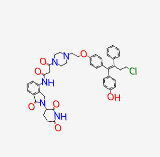 O=C1CCC(N2Cc3c(NC(=O)CC(=O)N4CCN(CCOc5ccc(C(=C(CCCl)c6ccccc6)c6ccc(O)cc6)cc5)CC4)cccc3C2=O)C(=O)N1